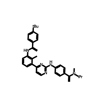 C=C(Nc1cccc(-c2ccnc(Nc3ccc(C(=C)N(C)C(C)C)cc3)n2)c1C)c1ccc(C(C)(C)C)cc1